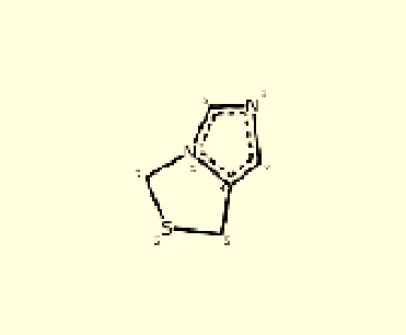 c1ncn2c1CSC2